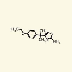 CCOc1ccc(C(C)(C)c2csc(N)n2)cc1